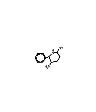 CCCC1CCC(N)C(c2ccccc2)N1